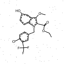 CCOC(=O)c1c(OC)c2cc(O)ccc2n1Cc1ccc(Cl)c(C(F)(F)F)c1